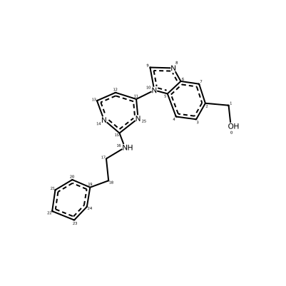 OCc1ccc2c(c1)ncn2-c1ccnc(NCCc2ccccc2)n1